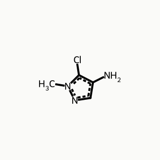 Cn1ncc(N)c1Cl